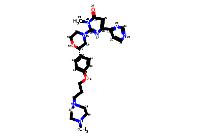 CN1CCN(CCCOc2ccc([C@H]3CN(c4nc(-c5ccncn5)cc(=O)n4C)CCO3)cc2)CC1